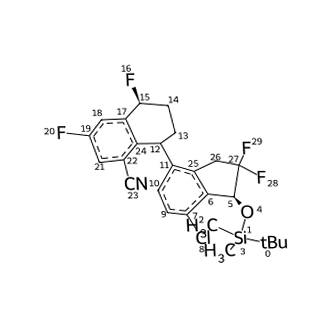 CC(C)(C)[Si](C)(C)O[C@H]1c2c(Cl)ccc(C3CC[C@H](F)c4cc(F)cc(C#N)c43)c2CC1(F)F